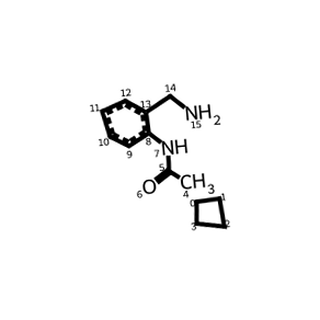 C1CCC1.CC(=O)Nc1ccccc1CN